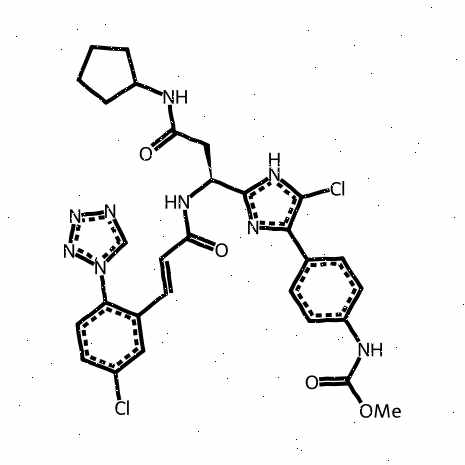 COC(=O)Nc1ccc(-c2nc([C@H](CC(=O)NC3CCCC3)NC(=O)/C=C/c3cc(Cl)ccc3-n3cnnn3)[nH]c2Cl)cc1